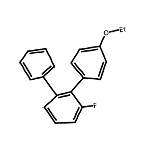 CCOc1ccc(-c2c(-c3ccccc3)[c]ccc2F)cc1